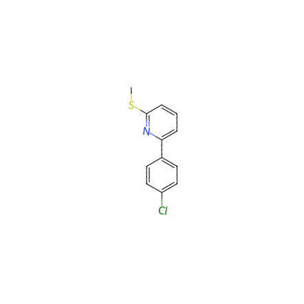 CSc1cccc(-c2ccc(Cl)cc2)n1